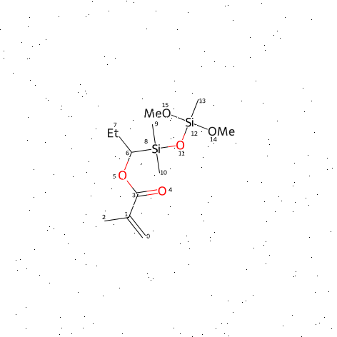 C=C(C)C(=O)OC(CC)[Si](C)(C)O[Si](C)(OC)OC